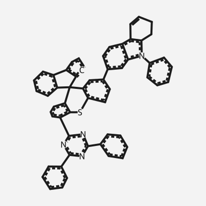 C1=Cc2c(n(-c3ccccc3)c3cc(-c4ccc5c(c4)C4(c6ccccc6-c6ccccc64)c4cccc(-c6nc(-c7ccccc7)nc(-c7ccccc7)n6)c4S5)ccc23)CC1